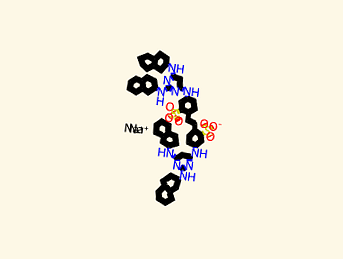 O=S(=O)([O-])c1cc(Nc2cc(Nc3ccc4ccccc4c3)nc(Nc3ccc4ccccc4c3)n2)ccc1/C=C/c1ccc(Nc2cc(Nc3ccc4ccccc4c3)nc(Nc3ccc4ccccc4c3)n2)cc1S(=O)(=O)[O-].[Na+].[Na+]